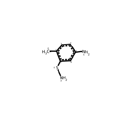 Cc1ccc(N)cc1SN